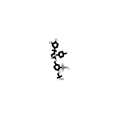 CC(C)(O)COc1ccc(CSc2ncc(C(C)(C)c3ccc(Cl)c(Cl)c3)n2-c2ccc(F)cc2)cc1S(N)(=O)=O